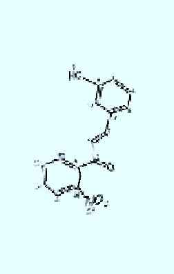 O=C(/C=C/c1cccc(O)c1)c1ccccc1[N+](=O)[O-]